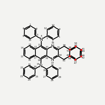 c1ccc(N(c2ccccc2)c2c3ccccc3c(N(c3ccccc3)c3ccccc3)c3nc4c(nc23)C2c3ccccc3C4c3ccccc32)cc1